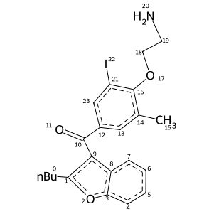 CCCCc1oc2ccccc2c1C(=O)c1cc(C)c(OCCN)c(I)c1